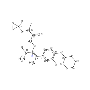 Cc1nc(/C(N)=C(\COC(=O)N(C)CC2(C)CC2)N(C)N)ccc1CC1CCCCC1